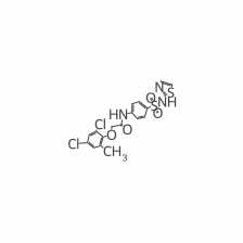 Cc1cc(Cl)cc(Cl)c1OCC(=O)Nc1ccc(S(=O)(=O)Nc2nccs2)cc1